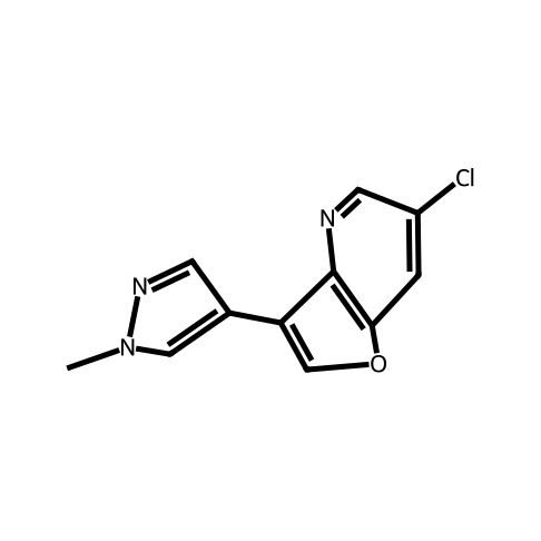 Cn1cc(-c2coc3cc(Cl)cnc23)cn1